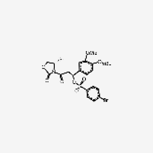 CCCCOc1ccc([C@H](CC(=O)N2C(=O)OC[C@@H]2C(C)C)OS(=O)(=O)c2ccc(Br)cc2)cc1OC